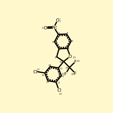 O=[N+]([O-])c1ccc2c(c1)CC(c1cc(Cl)cc(Cl)c1)(C(F)(F)F)O2